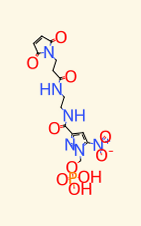 O=C(CCN1C(=O)C=CC1=O)NCCNC(=O)c1cc([N+](=O)[O-])n(COP(=O)(O)O)n1